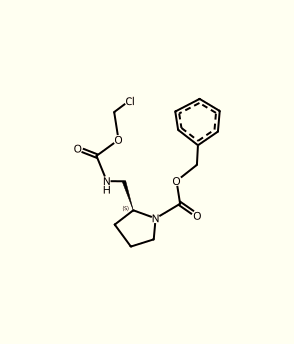 O=C(NC[C@@H]1CCCN1C(=O)OCc1ccccc1)OCCl